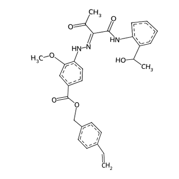 C=Cc1ccc(COC(=O)c2ccc(N/N=C(\C(C)=O)C(=O)Nc3ccccc3C(C)O)c(OC)c2)cc1